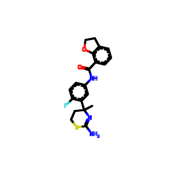 CC1(c2cc(NC(=O)c3cccc4c3OCC4)ccc2F)CCSC(N)=N1